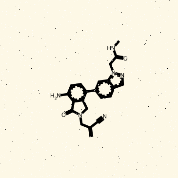 C=C(C#N)CN1Cc2c(-c3ccc4cnn(CC(=O)NC)c4c3)ccc(N)c2C1=O